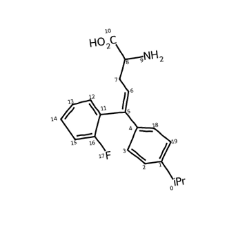 CC(C)c1ccc(C(=CCC(N)C(=O)O)c2ccccc2F)cc1